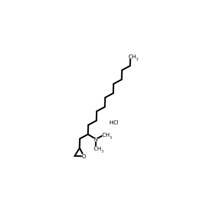 CCCCCCCCCCCC(CC1CO1)N(C)C.Cl